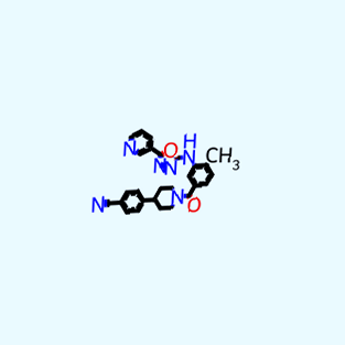 Cc1ccc(C(=O)N2CCC(c3ccc(C#N)cc3)CC2)cc1Nc1nnc(-c2cccnc2)o1